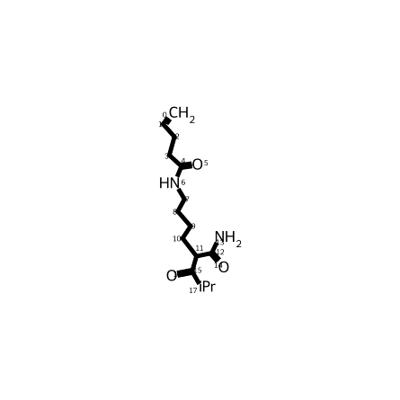 C=CCCC(=O)NCCCCC(C(N)=O)C(=O)C(C)C